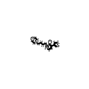 O=c1c(-c2ccsc2)ccnn1CCCCN1CCOCC1